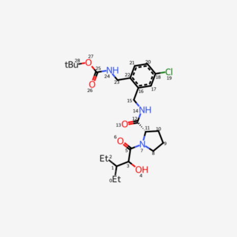 CCC(CC)C(O)C(=O)N1CCC[C@H]1C(=O)NCc1cc(Cl)ccc1CNC(=O)OC(C)(C)C